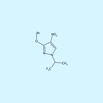 CC(C)Oc1nn(C(C)C(F)(F)F)cc1[N+](=O)[O-]